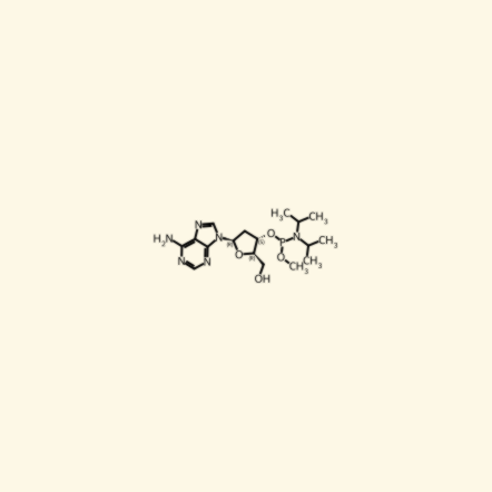 COP(O[C@H]1C[C@H](n2cnc3c(N)ncnc32)O[C@@H]1CO)N(C(C)C)C(C)C